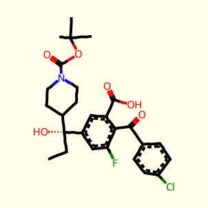 CC[C@](O)(c1cc(F)c(C(=O)c2ccc(Cl)cc2)c(C(=O)O)c1)C1CCN(C(=O)OC(C)(C)C)CC1